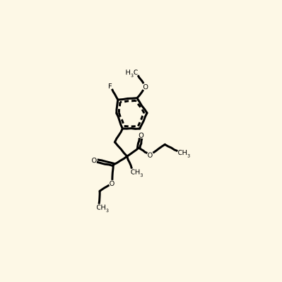 CCOC(=O)C(C)(Cc1ccc(OC)c(F)c1)C(=O)OCC